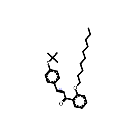 CCCCCCCCCCOc1ccccc1C(=O)/C=C/c1ccc(SC(C)(C)C)cc1